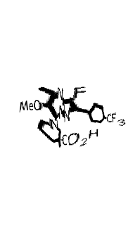 COc1c(C)nc2c(F)c(C3CCC(C(F)(F)F)CC3)nn2c1N1CCC[C@@](C)(C(=O)O)C1